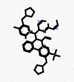 C=CC1C(C(C(/C=C\C)N=C(C)/C=C\C)[n+]2cc(CC3CCCC3)c(C)cc2C)c2ccccc2-c2cc(CC3CCCC3)c([Si](C)(C)C)c[n+]21